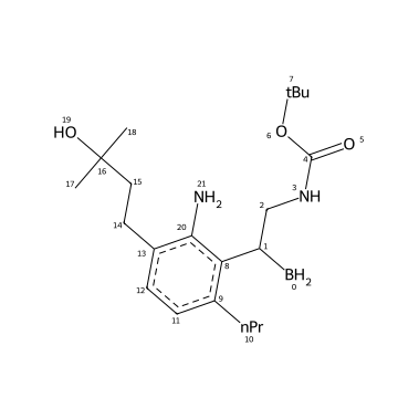 BC(CNC(=O)OC(C)(C)C)c1c(CCC)ccc(CCC(C)(C)O)c1N